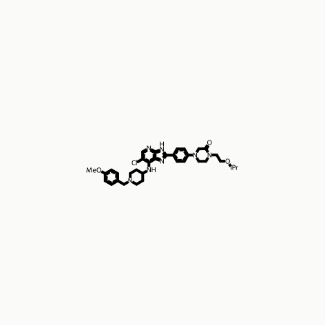 COc1ccc(CN2CCC(Nc3c(Cl)cnc4[nH]c(-c5ccc(N6CCN(CCOC(C)C)C(=O)C6)cc5)nc34)CC2)cc1